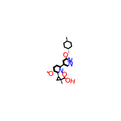 COc1ccc(-c2cnnc(OC[C@H]3CC[C@H](C)CC3)c2)nc1[C@@H]1C[C@@]1(C)C(=O)O